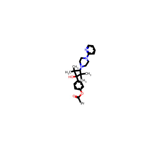 CC(C)C(=O)Oc1ccc(C2(O)C(C)(C)C(N3CCN(c4ccccn4)CC3)C2(C)C)cc1